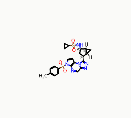 Cc1ccc(S(=O)(=O)n2ccc3c2ncc2nnc([C@H]4C[C@@H](NS(=O)(=O)C5CC5)[C@@H]5C[C@@H]54)n23)cc1